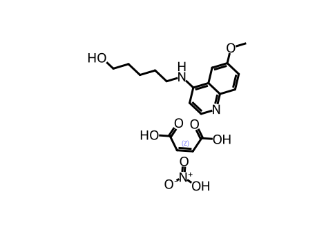 COc1ccc2nccc(NCCCCCO)c2c1.O=C(O)/C=C\C(=O)O.O=[N+]([O-])O